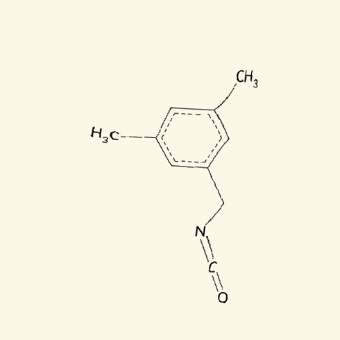 Cc1cc(C)cc(CN=C=O)c1